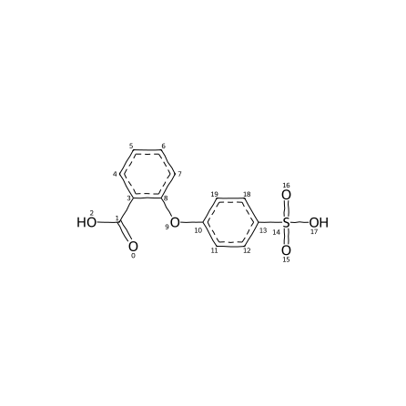 O=C(O)c1ccccc1Oc1ccc(S(=O)(=O)O)cc1